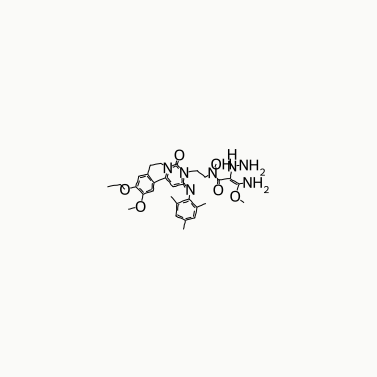 CCOc1cc2c(cc1OC)-c1c/c(=N\c3c(C)cc(C)cc3C)n(CCN(O)C(=O)/C(NN)=C(/N)OC)c(=O)n1CC2